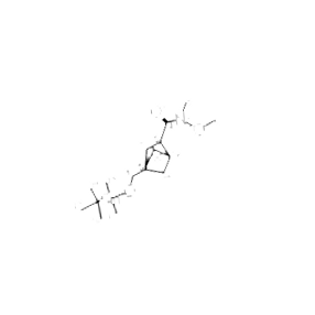 CON(C)C(=O)C1CC2(CO[Si](C)(C)C(C)(C)C)CC1C2